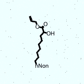 C=CCOC(=O)C(O)CCCCCCCCCCCCCCCC